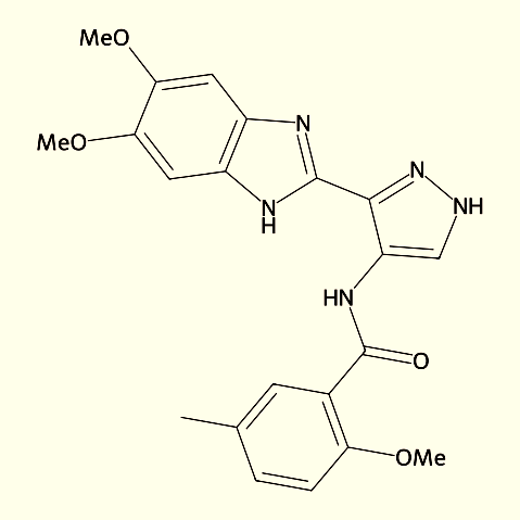 COc1cc2nc(-c3n[nH]cc3NC(=O)c3cc(C)ccc3OC)[nH]c2cc1OC